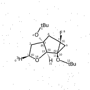 [3H][C@H]1C[C@@]2(OC(C)(C)C)C[C@]3(F)C[C@]3(OC(C)(C)C)[C@H]2O1